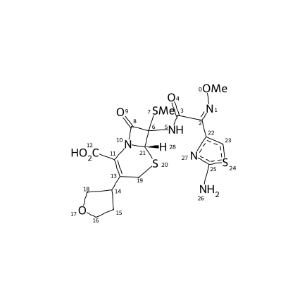 CO/N=C(\C(=O)NC1(SC)C(=O)N2C(C(=O)O)=C(C3CCOC3)CS[C@H]21)c1csc(N)n1